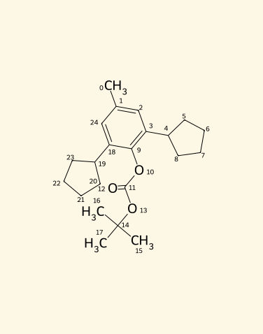 Cc1cc(C2CCCC2)c(OC(=O)OC(C)(C)C)c(C2CCCC2)c1